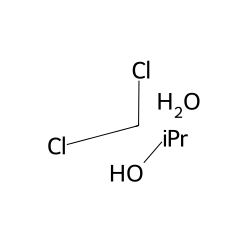 CC(C)O.ClCCl.O